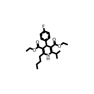 CCCCC1=C(C(=O)OCC)C(c2ccc(F)cc2)C(C(=O)OCC)=C(C(C)C)N1